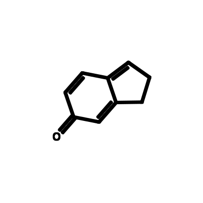 O=C1C=CC2=CCCC2=C1